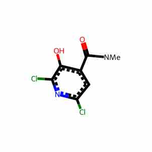 CNC(=O)c1cc(Cl)nc(Cl)c1O